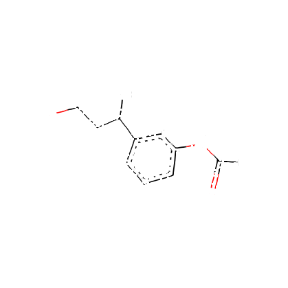 CCC(=O)Oc1cccc(C(C)CCO)c1